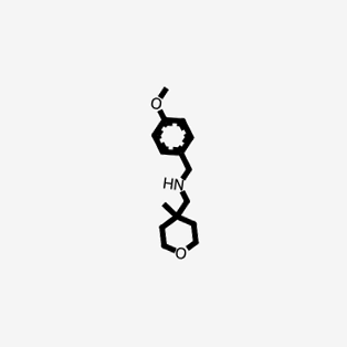 COc1ccc(CNCC2(C)CCOCC2)cc1